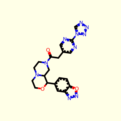 O=C(Cc1cnc(-n2cnnn2)nc1)N1CCN2CCOC(c3ccc4onnc4c3)C2C1